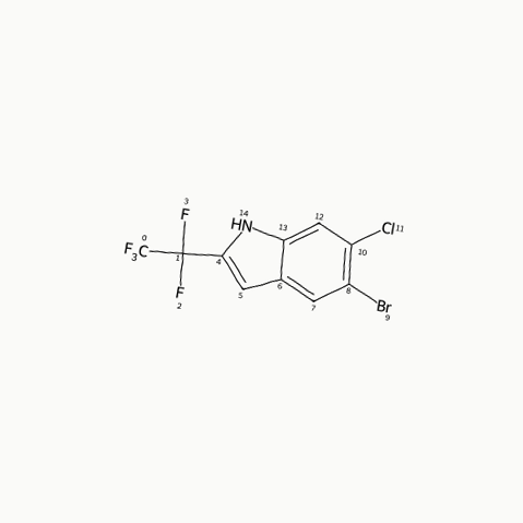 FC(F)(F)C(F)(F)c1cc2cc(Br)c(Cl)cc2[nH]1